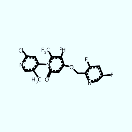 [2H]c1c(OCc2ncc(F)cc2F)cc(=O)n(-c2cc(Cl)ncc2C)c1C(F)(F)F